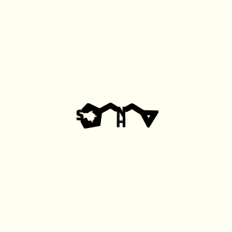 c1cc(CNCC2CC2)cs1